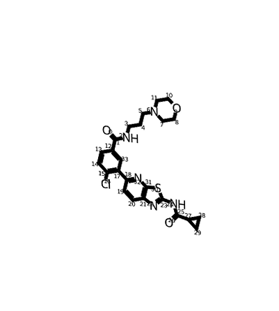 O=C(NCCCN1CCOCC1)c1ccc(Cl)c(-c2ccc3nc(NC(=O)C4CC4)sc3n2)c1